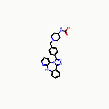 O=C(O)NC1CCN(Cc2ccc(-c3nnc4n3-c3cccnc3Nc3ccccc3-4)cc2)CC1